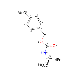 COc1ccc(COC(=O)N[C@H](C(=O)O)C(C)C)cc1